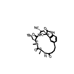 C[C@@H]1NC(=O)CCCc2ccc3c(c2)[C@@]2(C[C@@H](C#N)N(C2)C(=O)[C@H](CC(C)(C)C)N(C)C1=O)C(=O)N3